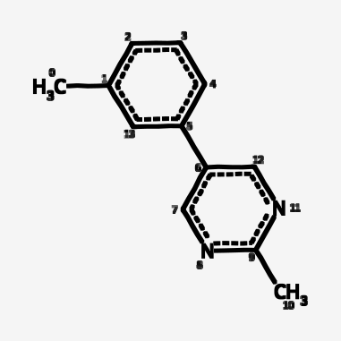 Cc1cccc(-c2cnc(C)nc2)c1